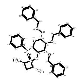 C[C@@H]1C[C@@H](C)P1(=O)O[C@@H]1[C@@H](OCc2ccccc2)[C@H](OCc2ccccc2)[C@@H](COCc2ccccc2)O[C@H]1Sc1ccccc1